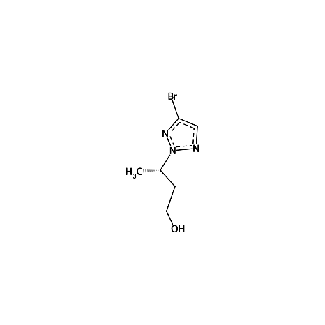 C[C@@H](CCO)n1ncc(Br)n1